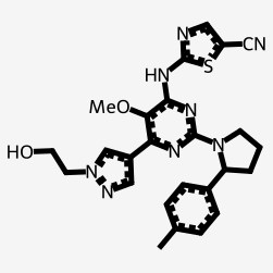 COc1c(Nc2ncc(C#N)s2)nc(N2CCCC2c2ccc(C)cc2)nc1-c1cnn(CCO)c1